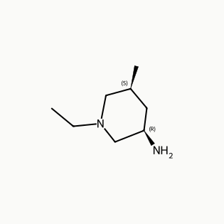 CCN1C[C@@H](C)C[C@@H](N)C1